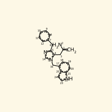 C=C(N)Cc1c(Cc2ccccc2)ncn1Cc1cccc2[nH]ccc12